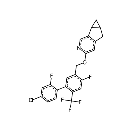 Fc1cc(C(F)(F)F)c(-c2ccc(Cl)cc2F)cc1COc1cc2c(cn1)C1CC1C2